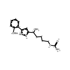 COc1ccccc1-c1cc(C(N)CCCCOC(N)=O)n[nH]1